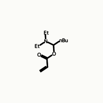 C=CC(=O)OC(CCCC)N(CC)CC